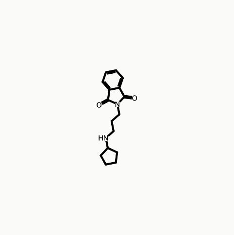 O=C1c2ccccc2C(=O)N1CCCNC1CCCC1